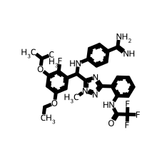 CCOc1cc(OC(C)C)c(F)c(C(Nc2ccc(C(=N)N)cc2)c2nc(-c3ccccc3NC(=O)C(F)(F)F)nn2C)c1